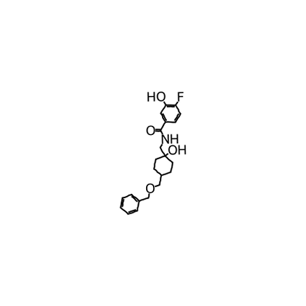 O=C(NCC1(O)CCC(COCc2ccccc2)CC1)c1ccc(F)c(O)c1